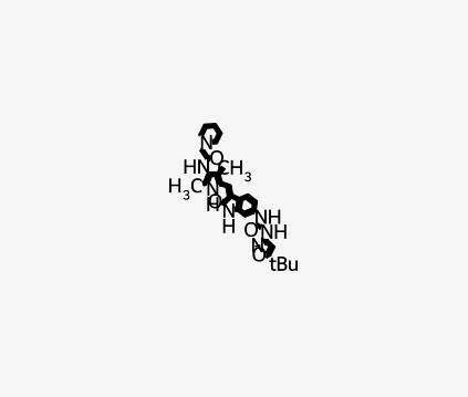 Cc1[nH]c(C=C2C(=O)Nc3cc(NC(=O)Nc4cc(C(C)(C)C)on4)ccc32)c(C)c1NC(=O)CN1CCCCC1